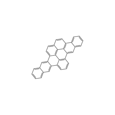 c1ccc2cc3c(cc2c1)c1cccc2c4cc5ccccc5c5ccc6ccc3c(c12)c6c54